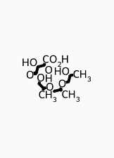 CC(O)COC(C)COC(C)COC(=O)C(O)C(O)C(=O)O